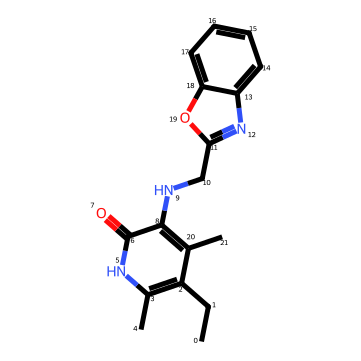 CCc1c(C)[nH]c(=O)c(NCc2nc3ccccc3o2)c1C